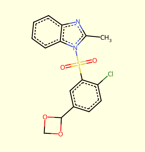 Cc1nc2ccccc2n1S(=O)(=O)c1cc(C2OCO2)ccc1Cl